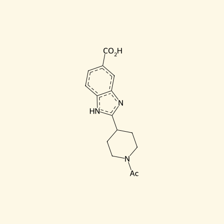 CC(=O)N1CCC(c2nc3cc(C(=O)O)ccc3[nH]2)CC1